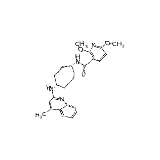 COc1ccc(C(=O)N[C@H]2CC[C@@H](Nc3cc(C)c4ccccc4n3)CC2)c(OC)n1